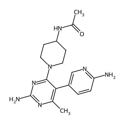 CC(=O)NC1CCN(c2nc(N)nc(C)c2-c2ccc(N)nc2)CC1